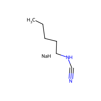 CCCCCNC#N.[NaH]